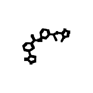 C[C@H](Sc1nncn1C)c1cccc(NC(=O)c2cccc(-c3ccn[nH]3)c2)c1